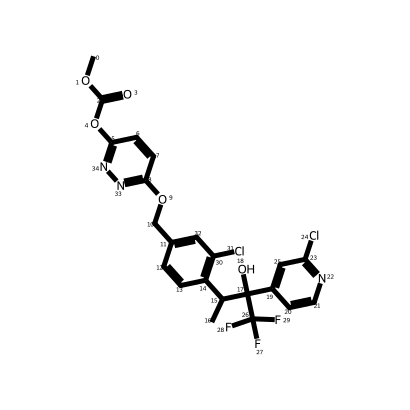 COC(=O)Oc1ccc(OCc2ccc(C(C)C(O)(c3ccnc(Cl)c3)C(F)(F)F)c(Cl)c2)nn1